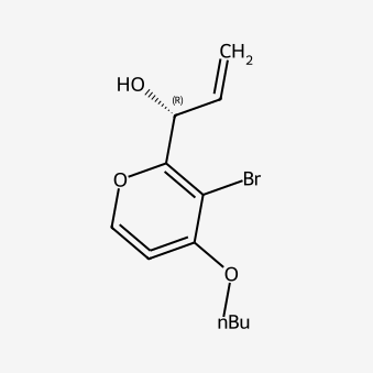 C=C[C@@H](O)C1=C(Br)C(OCCCC)=C=CO1